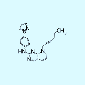 CCCC#CCN1CC=Cc2cnc(Nc3ccc(-n4cccn4)cc3)nc21